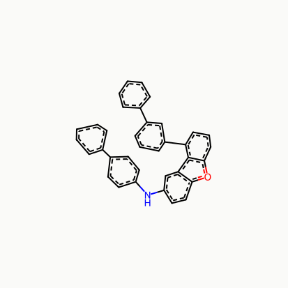 c1ccc(-c2ccc(Nc3ccc4oc5cccc(-c6cccc(-c7ccccc7)c6)c5c4c3)cc2)cc1